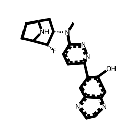 CN(c1ccc(-c2cc3nccnc3cc2O)nn1)[C@H]1CC2CCC(N2)[C@H]1F